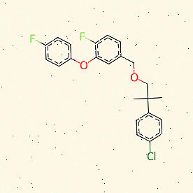 CC(C)(COCc1ccc(F)c(Oc2ccc(F)cc2)c1)c1ccc(Cl)cc1